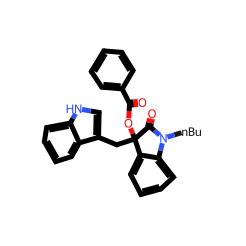 CCCCN1C(=O)C(Cc2c[nH]c3ccccc23)(OC(=O)c2ccccc2)c2ccccc21